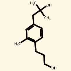 Cc1cc(CC(C)(C)O)ccc1CCCO